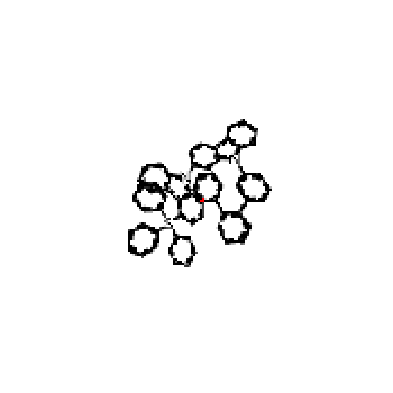 c1ccc(-c2ccccc2-c2cccc(-n3c4ccccc4c4ccc(-n5c6ccccc6c6c([Si](c7ccccc7)(c7ccccc7)c7ccccc7)cccc65)cc43)c2)cc1